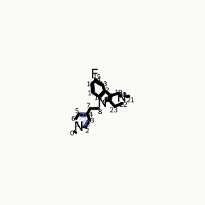 C=N/C=C\C(=C/C)CCn1c2c(c3cc(F)ccc31)CN(C)CC2